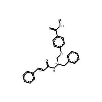 O=C(/C=C/c1ccccc1)N[C@@H](COc1ccc(C(=S)NO)cc1)Cc1ccccc1